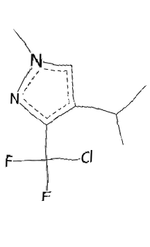 CC(C)c1cn(C)nc1C(F)(F)Cl